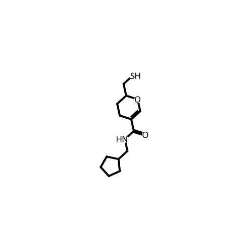 O=C(NCC1CCCC1)C1=COC(CS)CC1